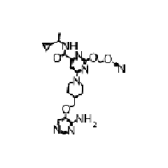 CC(NC(=O)c1cc(N2CCC(COc3cncnc3N)CC2)nc(OCOC#N)n1)C1CC1